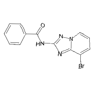 O=C(Nc1nc2c(Br)cccn2n1)c1ccccc1